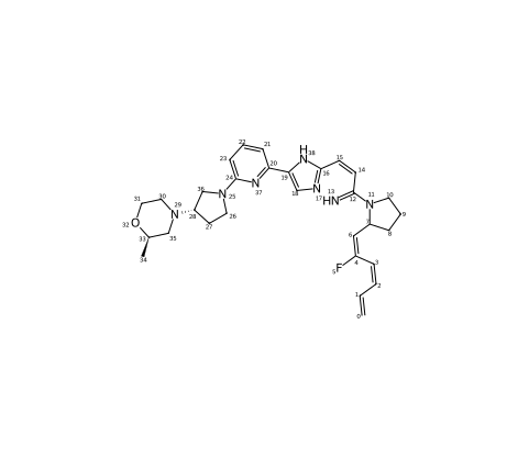 C=C/C=C\C(F)=C/C1CCCN1C(=N)/C=C\c1ncc(-c2cccc(N3CC[C@H](N4CCO[C@H](C)C4)C3)n2)[nH]1